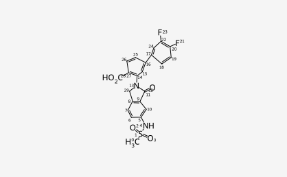 CS(=O)(=O)Nc1ccc2c(c1)C(=O)N(c1cc(-c3ccc(F)c(F)c3)ccc1C(=O)O)C2